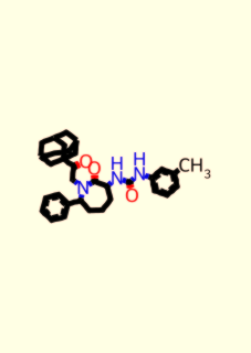 Cc1cccc(NC(=O)NC2CCCC(c3ccccc3)N(CC(=O)C34CC5CC(CC(C5)C3)C4)C2=O)c1